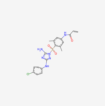 C=CC(=O)Nc1cc(C)c(S(=O)(=O)n2nc(Nc3ccc(Cl)cc3)nc2N)c(C)c1